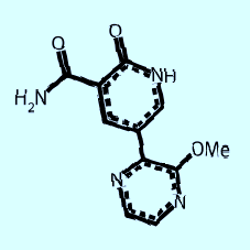 COc1nccnc1-c1c[nH]c(=O)c(C(N)=O)c1